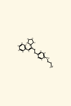 BrCCOc1ccc(CCC(=Cc2ccccc2)C2CCCC2)cc1